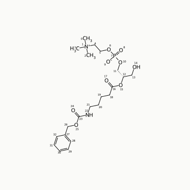 C[N+](C)(C)CCOP(=O)([O-])OC[C@H](CO)OC(=O)CCCCNC(=O)OCc1ccccc1